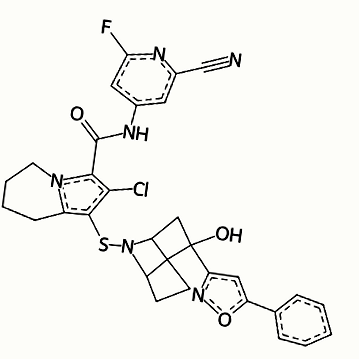 N#Cc1cc(NC(=O)c2c(Cl)c(SN3C4CCC45C3CC5(O)c3cc(-c4ccccc4)on3)c3n2CCCC3)cc(F)n1